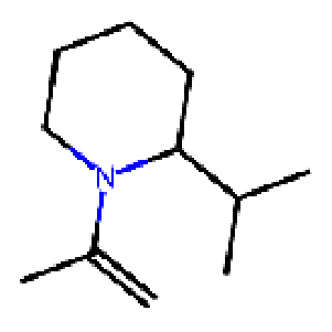 C=C(C)N1CCCCC1C(C)C